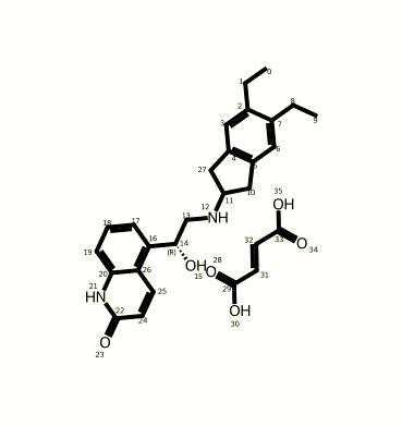 CCc1cc2c(cc1CC)CC(NC[C@H](O)c1cccc3[nH]c(=O)ccc13)C2.O=C(O)C=CC(=O)O